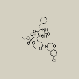 CCOP(=O)(OCC)C(O)[C@H](CCC(=O)N1CCOc2ccc(Cl)cc2C1)NC(=O)[C@H](CC1CCCCC1)NC(=O)O